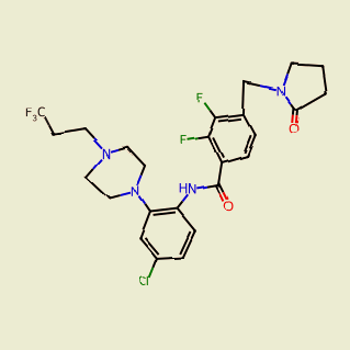 O=C(Nc1ccc(Cl)cc1N1CCN(CCC(F)(F)F)CC1)c1ccc(CN2CCCC2=O)c(F)c1F